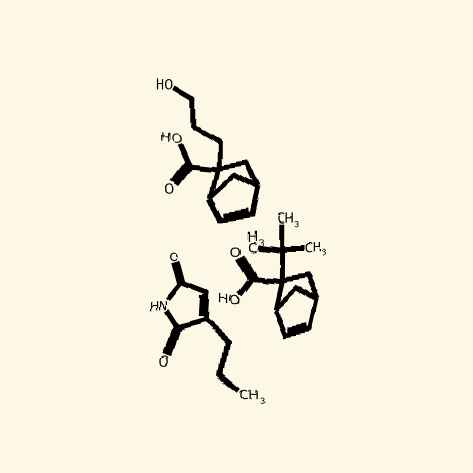 CC(C)(C)C1(C(=O)O)CC2C=CC1C2.CCCC1=CC(=O)NC1=O.O=C(O)C1(CCCO)CC2C=CC1C2